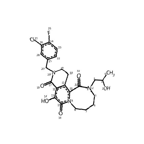 CC(O)CN1CCCCn2c(c3c(c(O)c2=O)C(=O)N(Cc2ccc(F)c(Cl)c2)CC3)C1=O